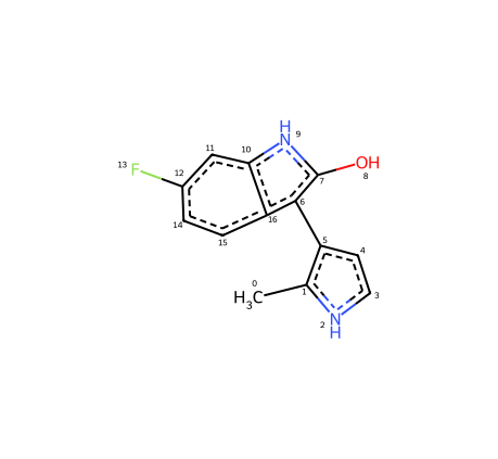 Cc1[nH]ccc1-c1c(O)[nH]c2cc(F)ccc12